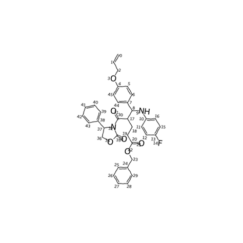 C=CCOc1ccc(C(Nc2ccc(F)cc2)C(CCC(=O)OCc2ccccc2)C(=O)N2C(=O)OCC2c2ccccc2)cc1